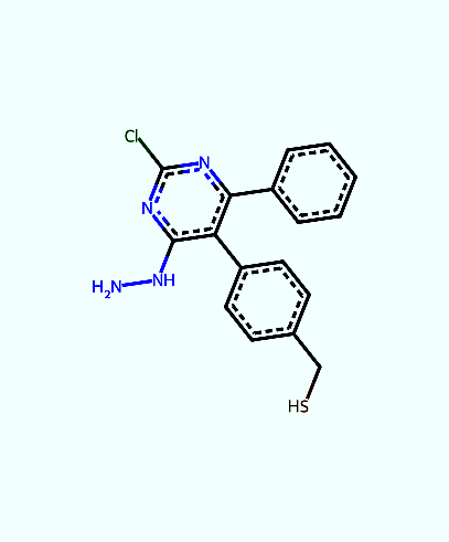 NNc1nc(Cl)nc(-c2ccccc2)c1-c1ccc(CS)cc1